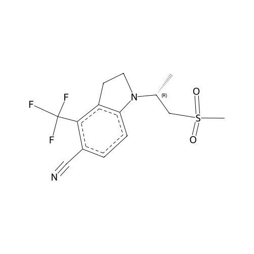 C[C@H](CS(C)(=O)=O)N1CCc2c1ccc(C#N)c2C(F)(F)F